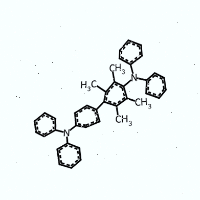 Cc1c(C)c(N(c2ccccc2)c2ccccc2)c(C)c(C)c1-c1ccc(N(c2ccccc2)c2ccccc2)cc1